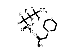 CCCC(=O)C[S+]1CCSCC1.O=S(=O)([O-])C(F)(F)C(F)(F)C(F)(F)C(F)(F)F